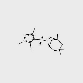 Cc1nn(C)c(Cl)c1S(=O)(=O)N1CC2(C)CC1CC(C)(C)C2